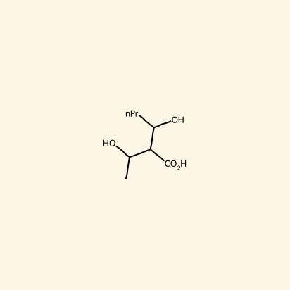 CCCC(O)C(C(=O)O)C(C)O